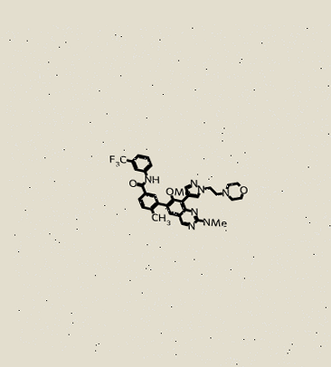 CNc1ncc2cc(-c3cc(C(=O)Nc4cccc(C(F)(F)F)c4)ccc3C)c(OC)c(-c3cnn(CCN4CCOCC4)c3)c2n1